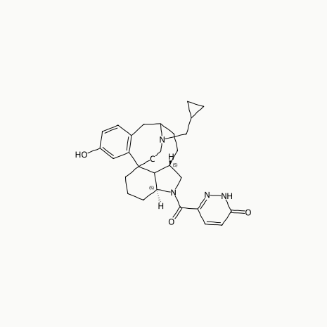 O=C(c1ccc(=O)[nH]n1)N1C[C@H]2CCC3Cc4ccc(O)cc4C4(CCC[C@H]1C24)CCN3CC1CC1